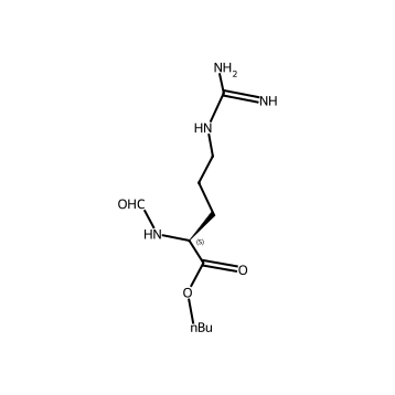 CCCCOC(=O)[C@H](CCCNC(=N)N)NC=O